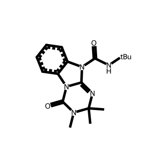 CN1C(=O)N2C(=NC1(C)C)N(C(=O)NC(C)(C)C)c1ccccc12